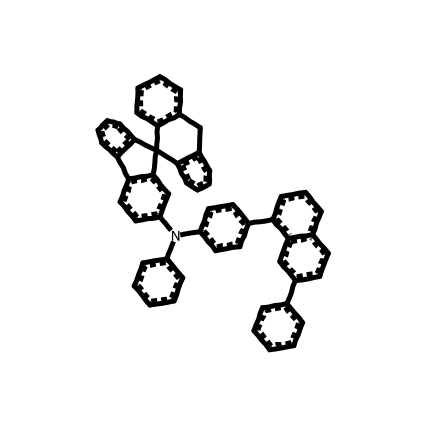 c1ccc(-c2ccc3cccc(-c4ccc(N(c5ccccc5)c5ccc6c(c5)C5(c7ccccc7Cc7ccccc75)c5ccccc5-6)cc4)c3c2)cc1